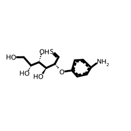 Nc1ccc(O[C@@H](C=S)[C@@H](O)[C@@H](O)[C@H](O)CO)cc1